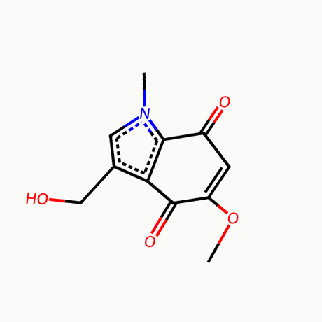 COC1=CC(=O)c2c(c(CO)cn2C)C1=O